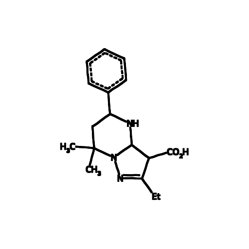 CCC1=NN2C(NC(c3ccccc3)CC2(C)C)C1C(=O)O